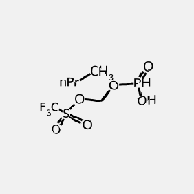 CCCC.O=[PH](O)OCOS(=O)(=O)C(F)(F)F